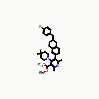 Cc1nc(C)c(C(OC(C)(C)C)C(=O)O)c(N2CCC(C)(C)CC2)c1-c1ccc2c(c1)CC/C(=C\c1ccc(F)cc1)C2